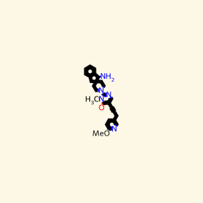 COc1ccc(CC#Cc2cnc(N3CCC4(CC3)Cc3ccccc3[C@H]4N)n(C)c2=O)cn1